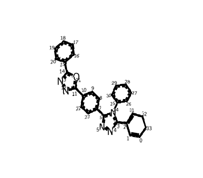 C1=CC(c2nnc(-c3ccc(-c4nnc(-c5ccccc5)o4)cc3)n2-c2ccccc2)=CCC1